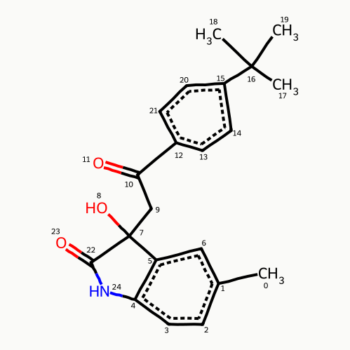 Cc1ccc2c(c1)C(O)(CC(=O)c1ccc(C(C)(C)C)cc1)C(=O)N2